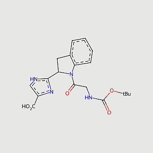 CC(C)(C)OC(=O)NCC(=O)N1c2ccccc2CC1c1nc(C(=O)O)c[nH]1